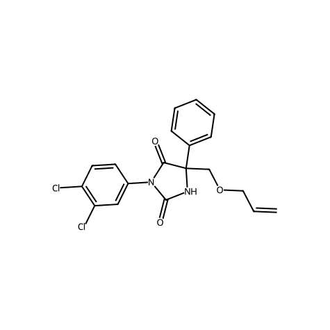 C=CCOCC1(c2ccccc2)NC(=O)N(c2ccc(Cl)c(Cl)c2)C1=O